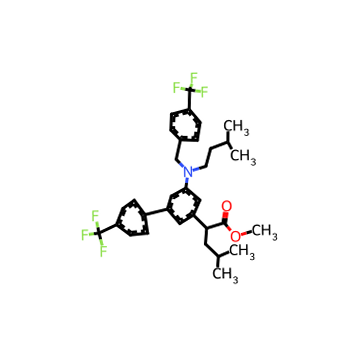 COC(=O)C(CC(C)C)c1cc(-c2ccc(C(F)(F)F)cc2)cc(N(CCC(C)C)Cc2ccc(C(F)(F)F)cc2)c1